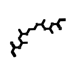 C=CC(=O)OC(C)SC(C)SCCSC(C)SC(C)OC(=O)C=C